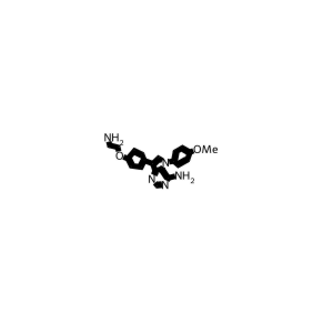 COc1ccc(-n2cc(-c3ccc(OCCN)cc3)c3ncnc(N)c32)cc1